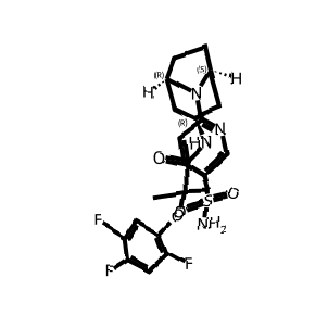 CC(C)(Oc1cc(F)c(F)cc1F)C(=O)N[C@H]1C[C@H]2CC[C@@H](C1)N2c1ccc(S(N)(=O)=O)cn1